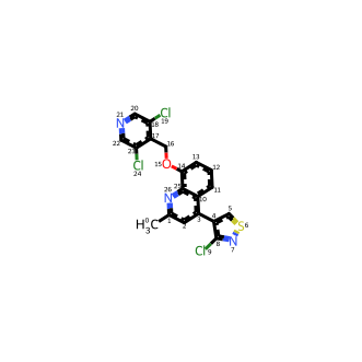 Cc1cc(-c2csnc2Cl)c2cccc(OCc3c(Cl)cncc3Cl)c2n1